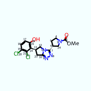 COC(=O)N1CC[C@@H](c2nnc3n2C[C@H](c2c(O)ccc(Cl)c2Cl)C3)C1